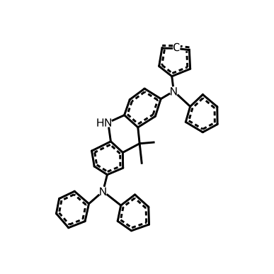 CC1(C)c2cc(N(c3ccccc3)c3ccccc3)ccc2Nc2ccc(N(c3ccccc3)c3ccccc3)cc21